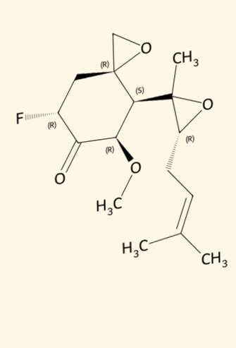 CO[C@H]1C(=O)[C@H](F)C[C@]2(CO2)[C@H]1C1(C)O[C@@H]1CC=C(C)C